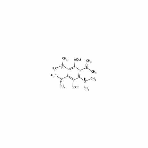 CCCCCCCCc1c([SiH](C)C)c([SiH](C)C)c(CCCCCCCC)c([SiH](C)C)c1[SiH](C)C